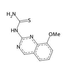 COc1cccc2cnc(NC(N)=S)nc12